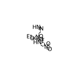 CCO[C@@H]1C[C@H](C(=O)Nc2ccc(N3CCOCC3=O)cc2F)N(C(=O)C=Cc2c[nH]cn2)C1